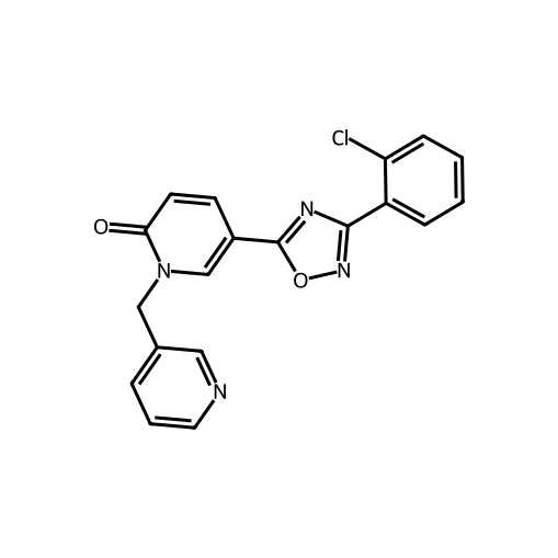 O=c1ccc(-c2nc(-c3ccccc3Cl)no2)cn1Cc1cccnc1